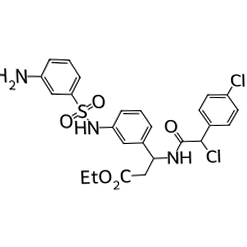 CCOC(=O)CC(NC(=O)C(Cl)c1ccc(Cl)cc1)c1cccc(NS(=O)(=O)c2cccc(N)c2)c1